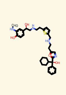 O=CNc1cc([C@@H](O)CNCCc2ccc(CNCCc3cnc([C@](O)(c4ccccc4)C4CCCCC4)o3)s2)ccc1O